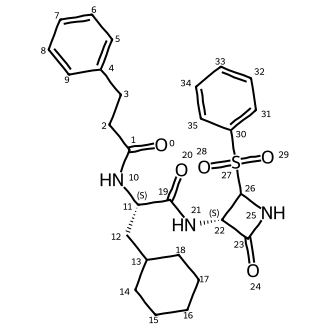 O=C(CCc1ccccc1)N[C@@H](CC1CCCCC1)C(=O)N[C@H]1C(=O)NC1S(=O)(=O)c1ccccc1